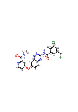 CNC(=O)c1cc(Oc2ccc3nc(NC(=O)c4cc(CF)cc(Cl)c4F)nnc3c2)ccn1